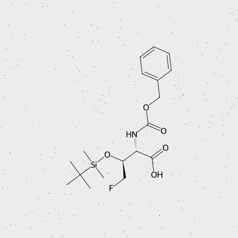 CC(C)(C)[Si](C)(C)O[C@H](CF)[C@H](NC(=O)OCc1ccccc1)C(=O)O